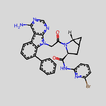 Nc1ncnc2c1c1cccc(-c3ccccc3)c1n2CC(=O)N1[C@@H]2CC2C[C@H]1C(=O)Nc1cccc(Br)n1